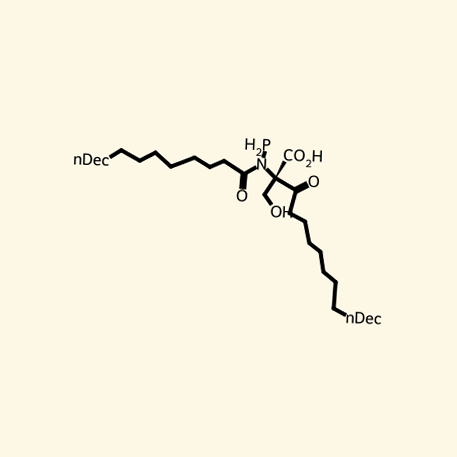 CCCCCCCCCCCCCCCCCC(=O)N(P)[C@](CO)(C(=O)O)C(=O)CCCCCCCCCCCCCCCCC